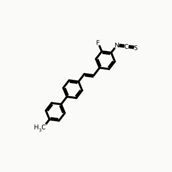 Cc1ccc(-c2ccc(C=Cc3ccc(N=C=S)c(F)c3)cc2)cc1